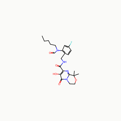 CCCCCN(C=O)c1cc(F)ccc1CNC(=O)c1nc2n(c(=O)c1O)CCOC2(C)C